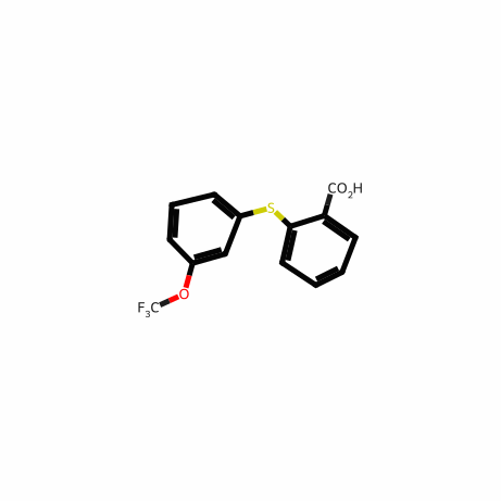 O=C(O)c1ccccc1Sc1cccc(OC(F)(F)F)c1